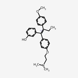 CC/C(=C(\c1ccc(OCCN(C)C)cc1)c1cccc(O)c1)c1ccc(OC)cc1